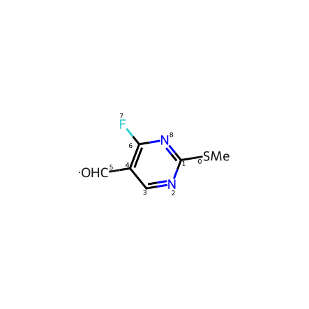 CSc1ncc([C]=O)c(F)n1